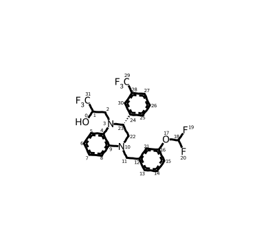 OC(CN1c2ccccc2N(Cc2cccc(OC(F)F)c2)C[C@H]1c1cccc(C(F)(F)F)c1)C(F)(F)F